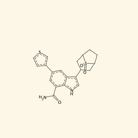 NC(=O)c1cc(-c2ccsc2)cc2c(C3CC4CCC(C3)S4(=O)=O)c[nH]c12